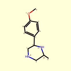 COc1ccc(C2CNCC(C)N2)cc1